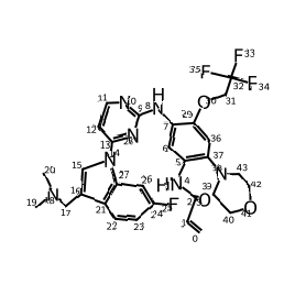 C=CC(=O)Nc1cc(Nc2nccc(-n3cc(CN(C)C)c4ccc(F)cc43)n2)c(OCC(F)(F)F)cc1N1CCOCC1